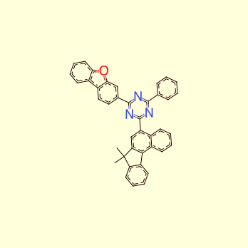 CC1(C)c2ccccc2-c2c1cc(-c1nc(-c3ccccc3)nc(-c3ccc4c(c3)oc3ccccc34)n1)c1ccccc21